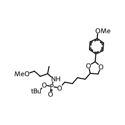 COCCC(C)NP(=O)(OCCCCC1COC(c2ccc(OC)cc2)O1)OC(C)(C)C